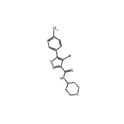 O=C(NC1CCOCC1)c1noc(-c2ccc(C(F)(F)F)cc2)c1Br